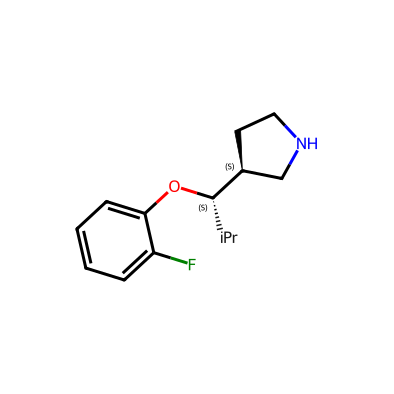 CC(C)[C@H](Oc1ccccc1F)[C@H]1CCNC1